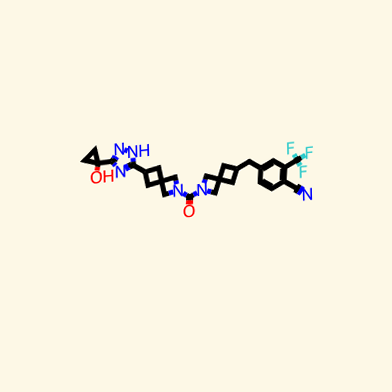 N#Cc1ccc(CC2CC3(C2)CN(C(=O)N2CC4(CC(c5nc(C6(O)CC6)n[nH]5)C4)C2)C3)cc1C(F)(F)F